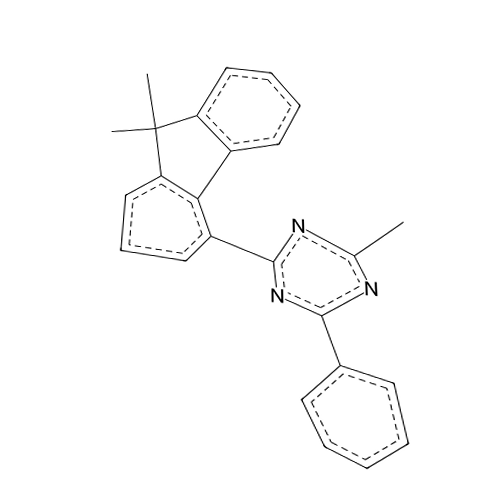 Cc1nc(-c2ccccc2)nc(-c2cccc3c2-c2ccccc2C3(C)C)n1